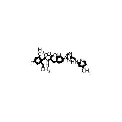 CCc1cc(F)cc(C)c1C(=O)NC(Cc1ccc(-n2cnc(CNc3cc(C)ccn3)n2)cc1)C(=O)O